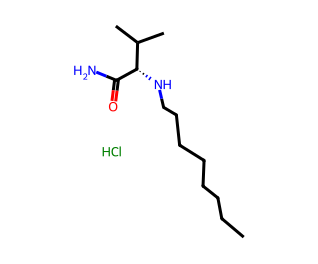 CCCCCCCCN[C@H](C(N)=O)C(C)C.Cl